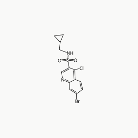 O=S(=O)(NCC1CC1)c1cnc2cc(Br)ccc2c1Cl